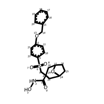 O=C(NO)C1(CS(=O)(=O)c2ccc(OCc3ccccc3)cc2)CC2CCC(C1)O2